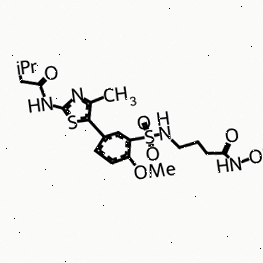 COc1ccc(-c2sc(NC(=O)CC(C)C)nc2C)cc1S(=O)(=O)NCCCC(=O)NO